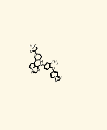 C=CC(=O)N1CCCC(c2ccn3ncnc(Nc4ccc(Oc5ccn6ncnc6c5)c(C)c4)c23)C1